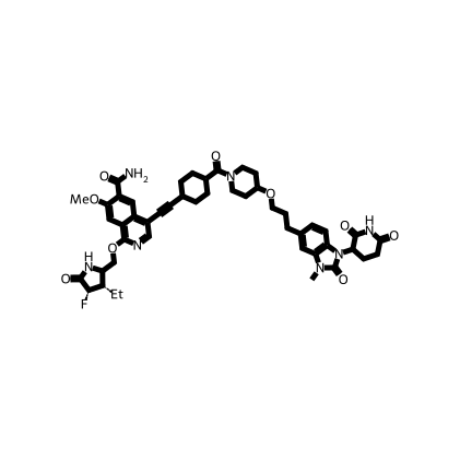 CC[C@H]1C(COc2ncc(C#CC3CCC(C(=O)N4CCC(OCCCc5ccc6c(c5)n(C)c(=O)n6C5CCC(=O)NC5=O)CC4)CC3)c3cc(C(N)=O)c(OC)cc23)NC(=O)[C@H]1F